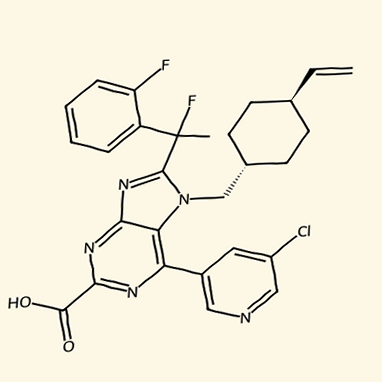 C=C[C@H]1CC[C@H](Cn2c(C(C)(F)c3ccccc3F)nc3nc(C(=O)O)nc(-c4cncc(Cl)c4)c32)CC1